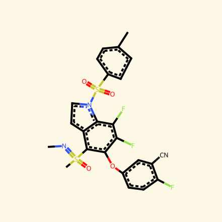 CN=S(C)(=O)c1c(Oc2ccc(F)c(C#N)c2)c(F)c(F)c2c1ccn2S(=O)(=O)c1ccc(C)cc1